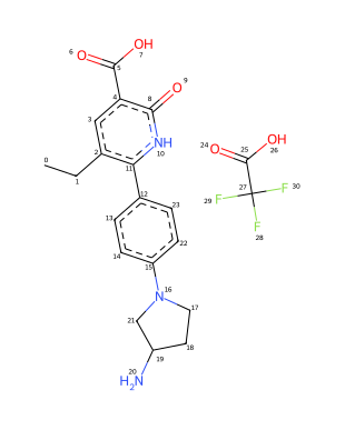 CCc1cc(C(=O)O)c(=O)[nH]c1-c1ccc(N2CCC(N)C2)cc1.O=C(O)C(F)(F)F